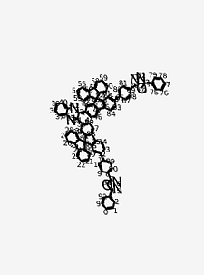 c1ccc(-c2nnc(-c3ccc(-c4ccc5c(c4)C4(c6ccccc6-c6ccccc64)c4cc(-c6nc7ccccc7nc6-c6ccc7c(c6)C6(c8ccccc8-c8ccccc86)c6cc(-c8ccc(-c9nnc(-c%10ccccc%10)o9)cc8)ccc6-7)ccc4-5)cc3)o2)cc1